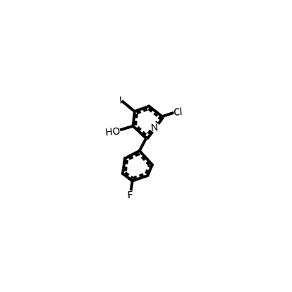 Oc1c(I)cc(Cl)nc1-c1ccc(F)cc1